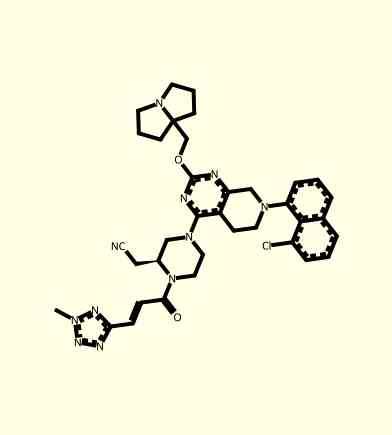 Cn1nnc(/C=C/C(=O)N2CCN(c3nc(OCC45CCCN4CCC5)nc4c3CCN(c3cccc5cccc(Cl)c35)C4)C[C@@H]2CC#N)n1